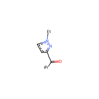 CCn1ccc(C(=O)C(C)C)n1